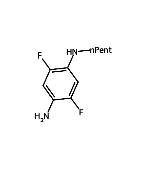 CCCCCNc1cc(F)c(N)cc1F